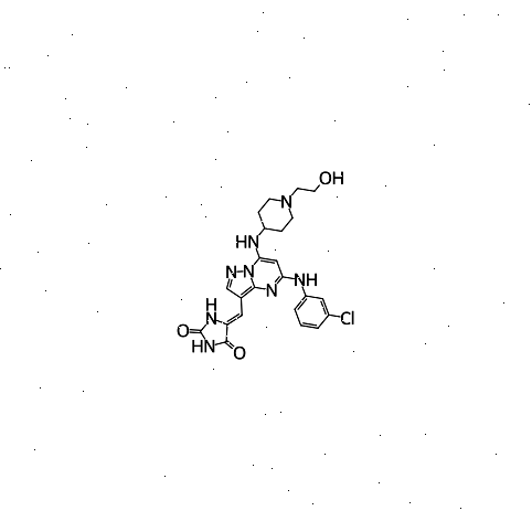 O=C1NC(=O)C(=Cc2cnn3c(NC4CCN(CCO)CC4)cc(Nc4cccc(Cl)c4)nc23)N1